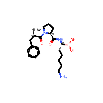 CC(=O)N[C@H](Cc1ccccc1)C(=O)N1CCC[C@H]1C(=O)N[C@@H](CCCCCN)B(O)O